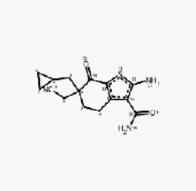 N#CCC1(CC2CC2)CCc2c(sc(N)c2C(N)=O)C1=O